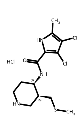 CSC[C@H]1CNCC[C@H]1NC(=O)c1[nH]c(C)c(Cl)c1Cl.Cl